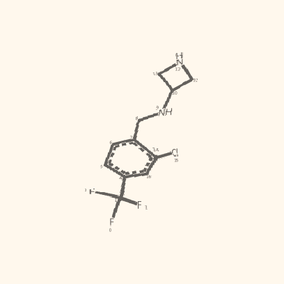 FC(F)(F)c1ccc(CNC2CNC2)c(Cl)c1